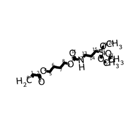 C=CC(=O)OCCCCOC(=O)NCCC[Si](OC)(OC)OC